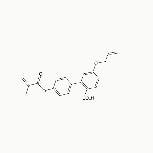 C=CCOc1ccc(C(=O)O)c(-c2ccc(OC(=O)C(=C)C)cc2)c1